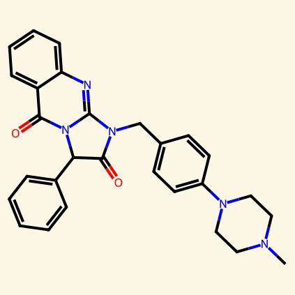 CN1CCN(c2ccc(CN3C(=O)C(c4ccccc4)n4c3nc3ccccc3c4=O)cc2)CC1